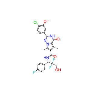 COc1cc(-c2nn3c(C)c(C(=O)NC(c4ccc(F)cc4)C(F)(F)CO)c(C)c3c(=O)[nH]2)ccc1Cl